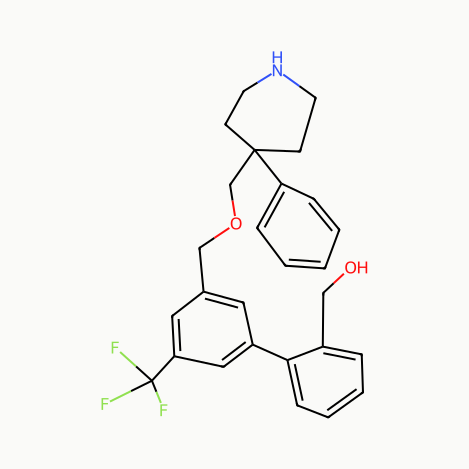 OCc1ccccc1-c1cc(COCC2(c3ccccc3)CCNCC2)cc(C(F)(F)F)c1